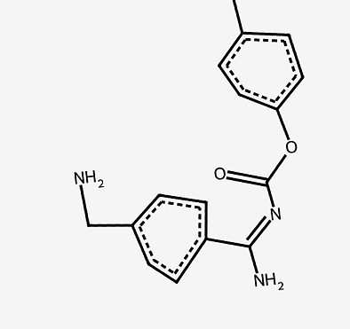 COc1ccc(OC(=O)/N=C(/N)c2ccc(CN)cc2)cc1